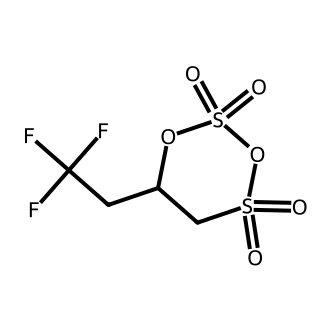 O=S1(=O)CC(CC(F)(F)F)OS(=O)(=O)O1